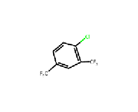 FC(F)(F)c1c[c]c(Cl)c(C(F)(F)F)c1